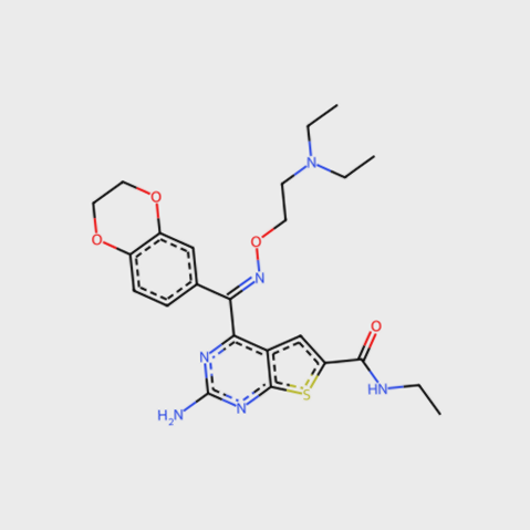 CCNC(=O)c1cc2c(C(=NOCCN(CC)CC)c3ccc4c(c3)OCCO4)nc(N)nc2s1